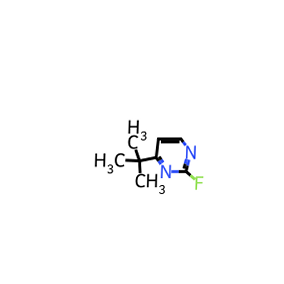 CC(C)(C)c1ccnc(F)n1